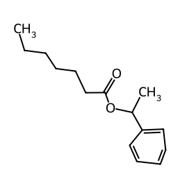 CCCCCCC(=O)OC(C)c1ccccc1